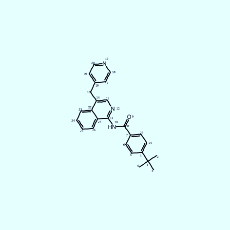 CC(C)(C)c1ccc(C(=O)Nc2ncc(Cc3ccncc3)c3ccccc23)cc1